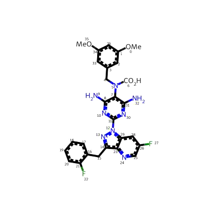 COc1cc(CN(C(=O)O)c2c(N)nc(-n3nc(Cc4ccccc4F)c4ncc(F)cc43)nc2N)cc(OC)c1